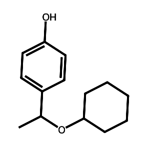 CC(OC1CCCCC1)c1ccc(O)cc1